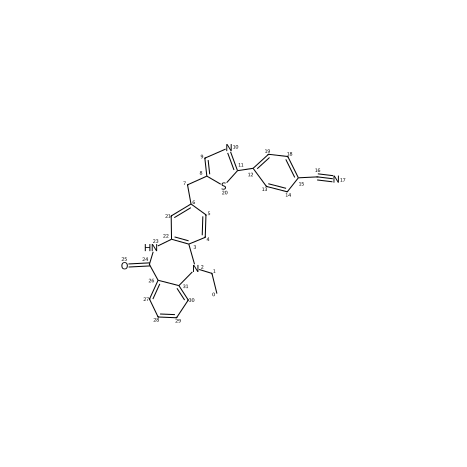 CCN1c2ccc(Cc3cnc(-c4ccc(C#N)cc4)s3)cc2NC(=O)c2ccccc21